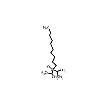 CCCCCCCCCC[Si]([O])(C(C)C)C(C)C